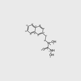 O=C(NO)N(O)CCc1ccc2ccccc2c1